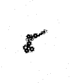 CCOOC/C=C/c1ccc(NC(=O)C2(N(C)C(=O)c3ccc4c(C5CCCCC5)c5n(c4c3)CCCc3ccccc3-5)CCCC2)cc1